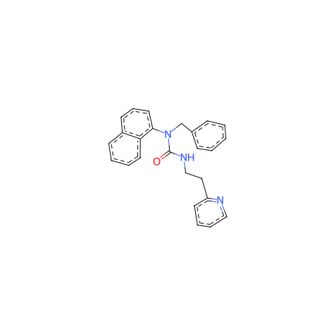 O=C(NCCc1ccccn1)N(Cc1ccccc1)c1cccc2ccccc12